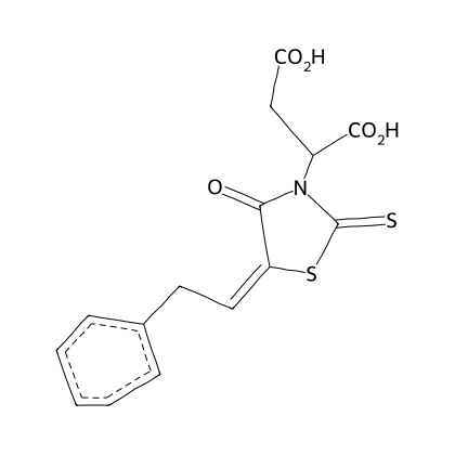 O=C(O)CC(C(=O)O)N1C(=O)C(=CCc2ccccc2)SC1=S